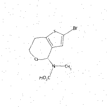 CN(C(=O)O)C1OCCc2sc(Br)cc21